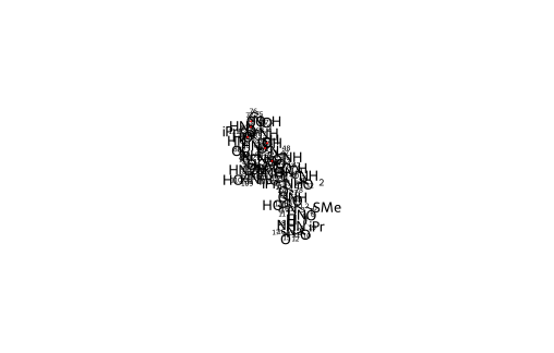 CSCC[C@H](NC(=O)[C@@H](NC(=O)[C@H](C)NC(=O)[C@H](C)N)C(C)C)C(=O)N[C@H](C(=O)N[C@@H](CCC(N)=O)C(=O)N[C@H](C(=O)N1CCC[C@H]1C(=O)N[C@@H](C)C(=O)N[C@@H](CO)C(=O)N[C@H](C(=O)N[C@@H](CO)C(=O)N[C@@H](CCC(=O)O)C(=O)N1CCC[C@H]1C(=O)N[C@H](C(=O)NCC(=O)NCC(=O)N[C@H](C(=O)N[C@H](C(=O)N[C@H](C(=O)O)[C@@H](C)O)C(C)C)[C@@H](C)O)C(C)C)C(C)C)[C@@H](C)O)[C@@H](C)O